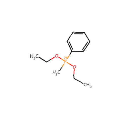 CCO[PH](C)(OCC)c1ccccc1